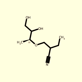 CCC(C#N)CO[C@@H](C)C(O)CO